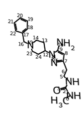 CNC(=O)NCCc1cc(N)n(C2CCN(Cc3ccccc3)CC2)n1